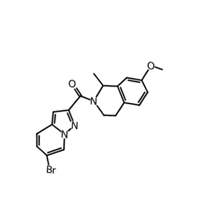 COc1ccc2c(c1)C(C)N(C(=O)c1cc3ccc(Br)cn3n1)CC2